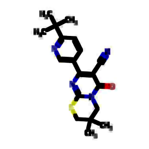 CC1(C)CSc2nc(-c3ccc(C(C)(C)C)nc3)c(C#N)c(=O)n2C1